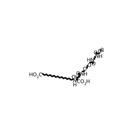 C=NOCC(=O)NCCNC(=O)COCCOCCNC(=O)CC[C@H](NC(O)CCCCCCCCCCCCCCCCC(=O)O)C(=O)O